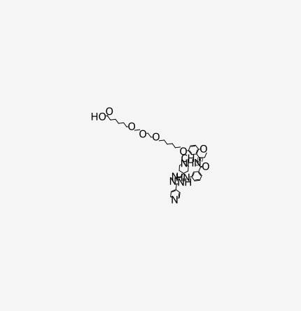 CN1CCC(Nc2cccc(C(=O)N[C@@H]3CCOc4ccc(OCCCCCCOCCOCCOCCCCCC(=O)O)cc43)c2)(c2nnc(-c3ccncc3)[nH]2)CC1